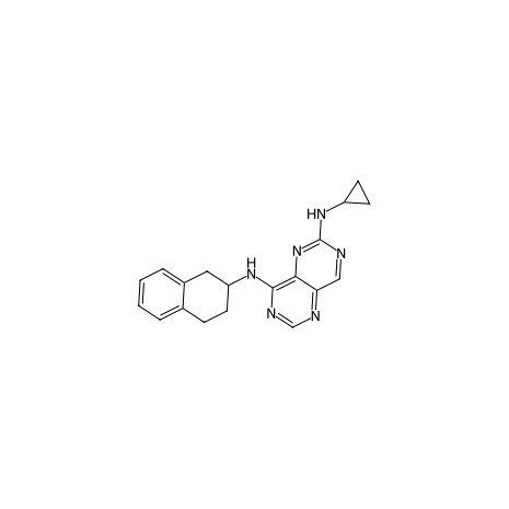 c1ccc2c(c1)CCC(Nc1ncnc3cnc(NC4CC4)nc13)C2